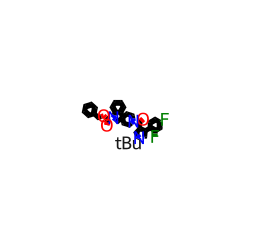 CC(C)(C)N1CC(C(=O)N2CCC3(CC2)CN(C(=O)OCc2ccccc2)c2ccccc23)C(c2ccc(F)cc2F)C1